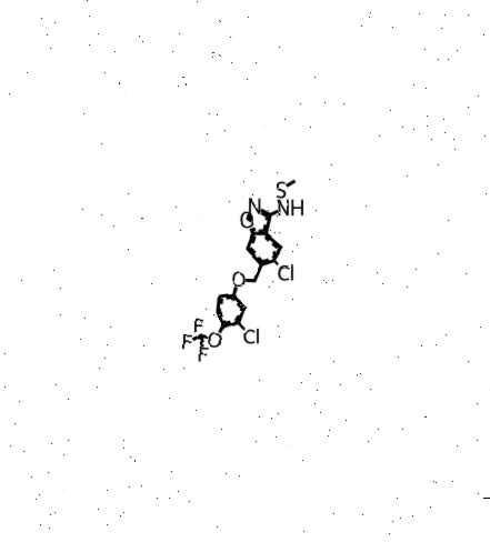 CSNc1noc2cc(COc3ccc(OC(F)(F)F)c(Cl)c3)c(Cl)cc12